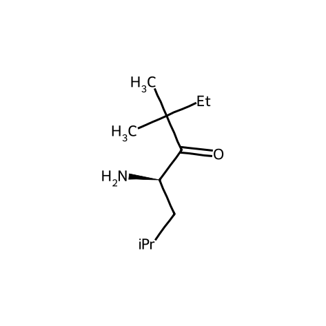 CCC(C)(C)C(=O)[C@H](N)CC(C)C